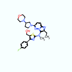 CCc1nc2ccc(N3CCC(N4CCOCC4)C3)nn2c1N(C)c1nc(-c2ccc(F)cc2)c(CO)s1